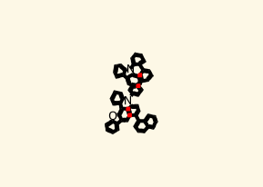 c1cc(-c2ccc(N(c3ccc(-c4cccc5ccccc45)cc3)c3ccccc3-c3cccc4c3oc3ccccc34)cc2)cc(-c2ccccc2-n2c3ccccc3c3ccccc32)c1